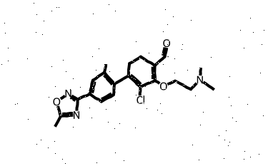 Cc1nc(-c2ccc(C3=C(Cl)C(OCCN(C)C)=C([C]=O)CC3)c(C)c2)no1